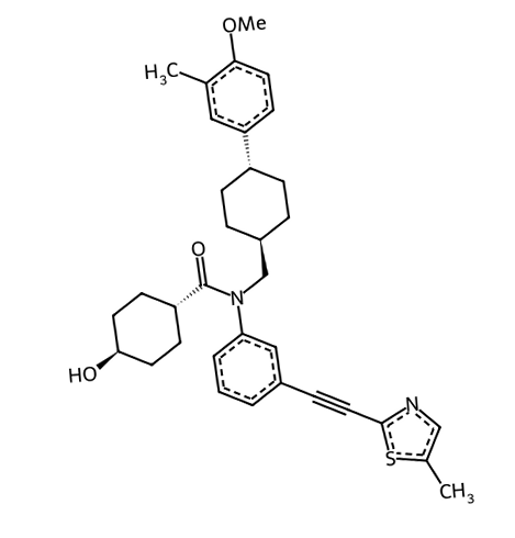 COc1ccc([C@H]2CC[C@H](CN(c3cccc(C#Cc4ncc(C)s4)c3)C(=O)[C@H]3CC[C@H](O)CC3)CC2)cc1C